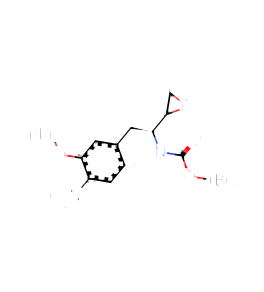 CCCOc1cc(C[C@H](NC(=O)OC(C)(C)C)C2CO2)ccc1[N+](=O)[O-]